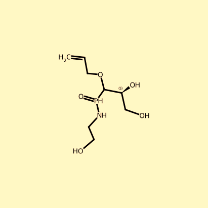 C=CCOC([C@@H](O)CO)[PH](=O)NCCO